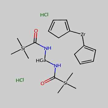 C1=CC[C]([Zr][C]2=CC=CC2)=C1.C[Si](C)(C)C(=O)[NH][GaH][NH]C(=O)[Si](C)(C)C.Cl.Cl